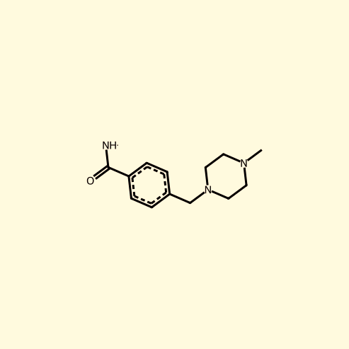 CN1CCN(Cc2ccc(C([NH])=O)cc2)CC1